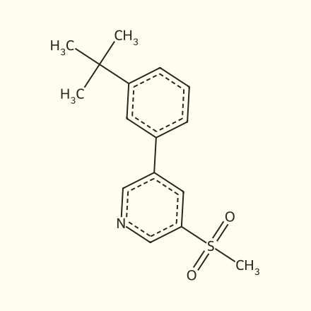 CC(C)(C)c1cccc(-c2cncc(S(C)(=O)=O)c2)c1